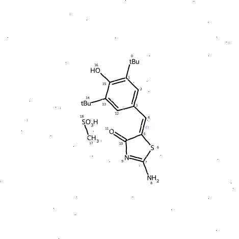 CC(C)(C)c1cc(/C=C2/SC(N)=NC2=O)cc(C(C)(C)C)c1O.CS(=O)(=O)O